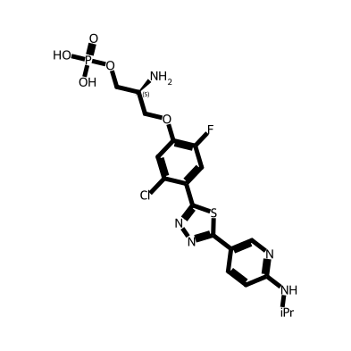 CC(C)Nc1ccc(-c2nnc(-c3cc(F)c(OC[C@H](N)COP(=O)(O)O)cc3Cl)s2)cn1